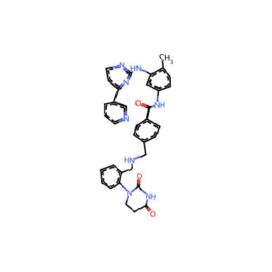 Cc1ccc(NC(=O)c2ccc(CNCc3ccccc3N3CCC(=O)NC3=O)cc2)cc1Nc1nccc(-c2cccnc2)n1